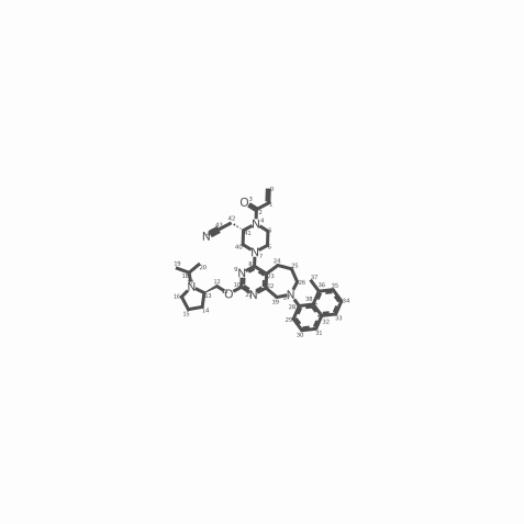 C=CC(=O)N1CCN(c2nc(OC[C@H]3CCCN3C(C)C)nc3c2CCCN(c2cccc4cccc(C)c24)C3)C[C@@H]1CC#N